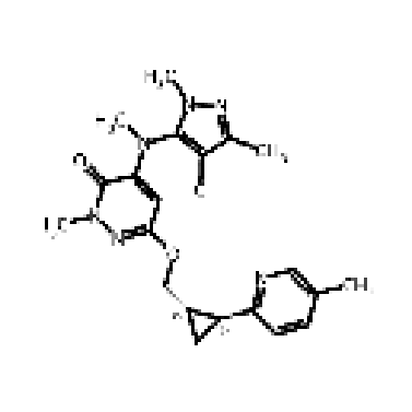 Cc1ccc([C@H]2C[C@@H]2COc2cc(N(C)c3c(Cl)c(C)nn3C)c(=O)n(C)n2)nc1